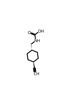 C#C[C@H]1CC[C@H](CNC(=O)O)CC1